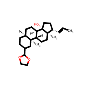 C/C=C/[C@H]1CC[C@]2(O)[C@@H]3CC[C@@H]4CCC(C5OCCO5)C[C@]4(C)[C@H]3CC[C@]12C